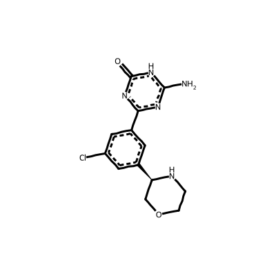 Nc1nc(-c2cc(Cl)cc([C@@H]3COCCN3)c2)nc(=O)[nH]1